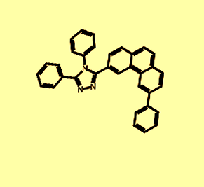 c1ccc(-c2ccc3ccc4ccc(-c5nnc(-c6ccccc6)n5-c5ccccc5)cc4c3c2)cc1